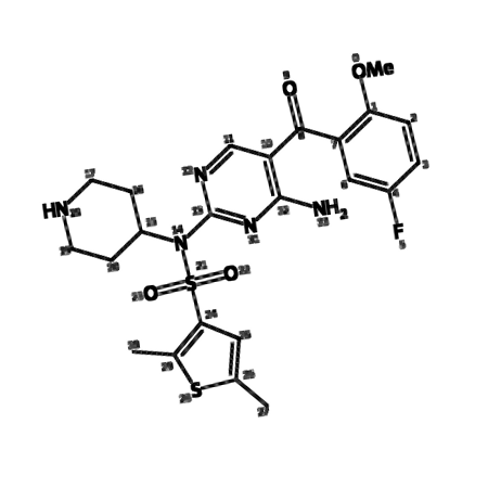 COc1ccc(F)cc1C(=O)c1cnc(N(C2CCNCC2)S(=O)(=O)c2cc(C)sc2C)nc1N